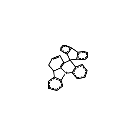 C1=CC2=C3C(C1)c1ccccc1N3c1ccccc1C21c2ccccc2-c2ccccc21